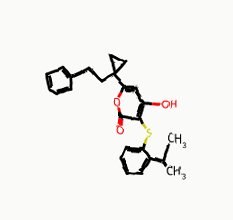 CC(C)c1ccccc1Sc1c(O)cc(C2(CCc3ccccc3)CC2)oc1=O